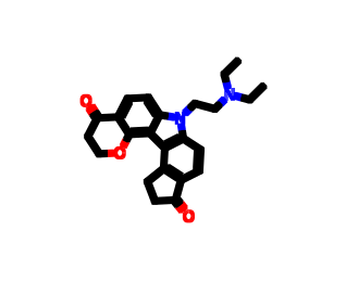 CCN(CC)CCn1c2ccc3c(c2c2c4c(ccc21)C(=O)CCO4)CCC3=O